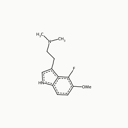 COc1ccc2[nH]cc(CCN(C)C)c2c1F